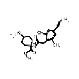 CC#Cc1cc(C)c(CC(=O)NC2(C(=O)OC)CCC(OC)CC2)c(Cl)c1